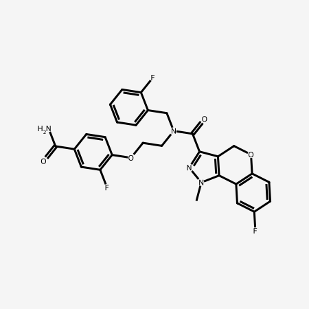 Cn1nc(C(=O)N(CCOc2ccc(C(N)=O)cc2F)Cc2ccccc2F)c2c1-c1cc(F)ccc1OC2